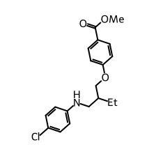 CCC(CNc1ccc(Cl)cc1)COc1ccc(C(=O)OC)cc1